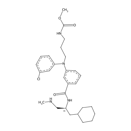 CNC[C@H](CC1CCCCC1)NC(=O)c1cccc(N(CCCNC(=O)OC)c2cccc(Cl)c2)c1